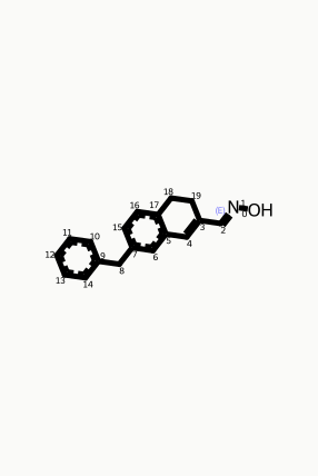 O/N=C/C1=Cc2cc(Cc3ccccc3)ccc2CC1